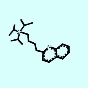 CC(C)[Si](CCCCc1ccc2ccccc2n1)(C(C)C)C(C)C